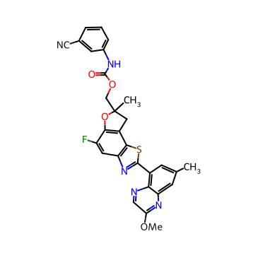 COc1cnc2c(-c3nc4cc(F)c5c(c4s3)CC(C)(COC(=O)Nc3cccc(C#N)c3)O5)cc(C)cc2n1